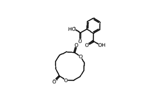 O=C(O)c1ccccc1C(=O)O.O=C1CCCCC(=O)OCCCCO1